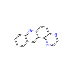 c1ccc2nc3ccc4nccnc4c3cc2c1